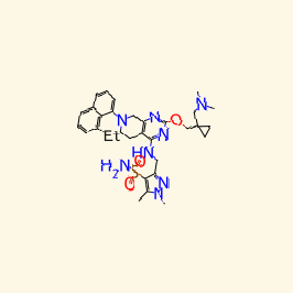 CCc1cccc2cccc(N3CCc4c(nc(OCC5(CN(C)C)CC5)nc4NCc4nn(C)c(C)c4S(N)(=O)=O)C3)c12